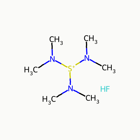 CN(C)[S+](N(C)C)N(C)C.F